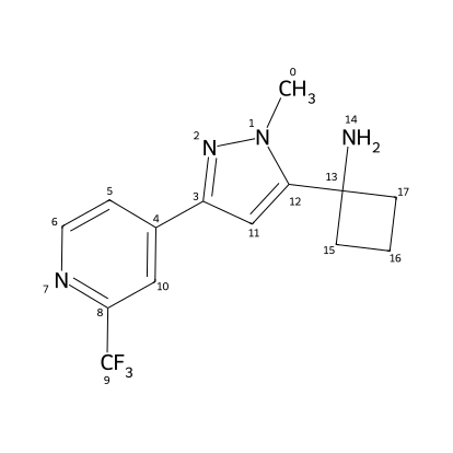 Cn1nc(-c2ccnc(C(F)(F)F)c2)cc1C1(N)CCC1